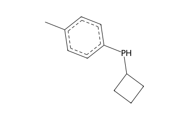 Cc1ccc(PC2CCC2)cc1